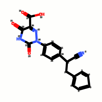 N#CC(Cc1ccccc1)c1ccc(-n2nc(C(=O)O)c(=O)[nH]c2=O)cc1